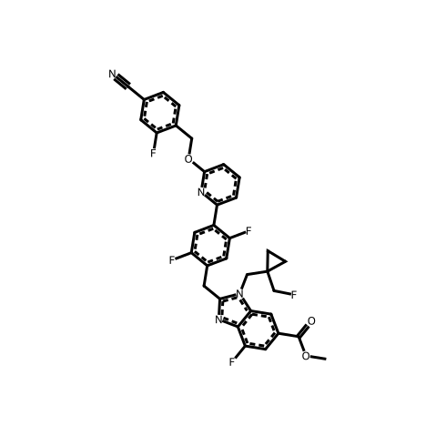 COC(=O)c1cc(F)c2nc(Cc3cc(F)c(-c4cccc(OCc5ccc(C#N)cc5F)n4)cc3F)n(CC3(CF)CC3)c2c1